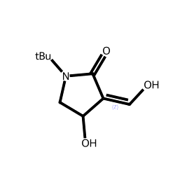 CC(C)(C)N1CC(O)/C(=C/O)C1=O